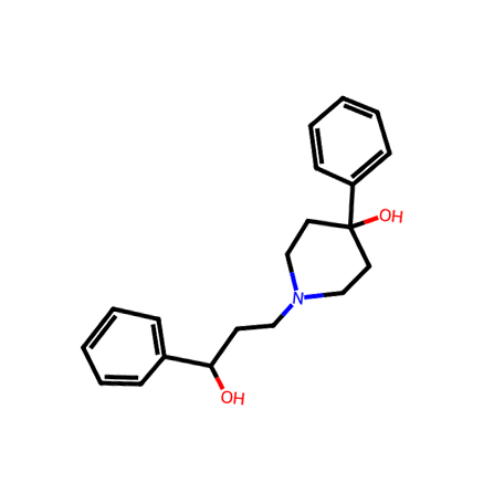 OC(CCN1CCC(O)(c2ccccc2)CC1)c1ccccc1